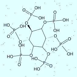 O=P(O)(O)OC1C(OP(=O)(O)O)[C@H](OP(=O)(O)O)[C@@H](OP(=O)(O)O)C(OP(=O)(O)O)[C@@H]1OP(=O)(O)O